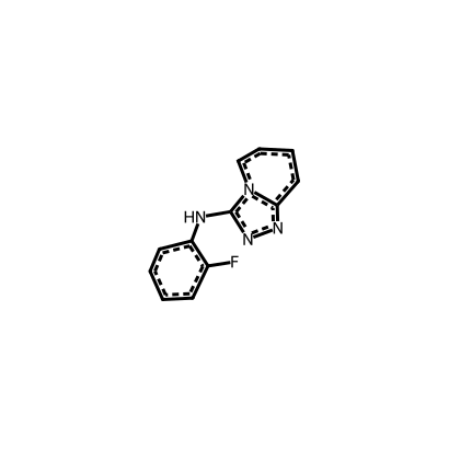 Fc1ccccc1Nc1nnc2ccccn12